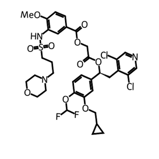 COc1ccc(C(=O)OCC(=O)O[C@@H](Cc2c(Cl)cncc2Cl)c2ccc(OC(F)F)c(OCC3CC3)c2)cc1NS(=O)(=O)CCCN1CCOCC1